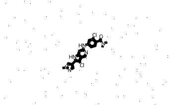 CN(C)C(=O)c1ccc(Nc2cc3[nH]c(-c4cnn(C)c4)c(Cl)c3cn2)cc1Cl